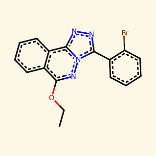 CCOc1nn2c(-c3ccccc3Br)nnc2c2ccccc12